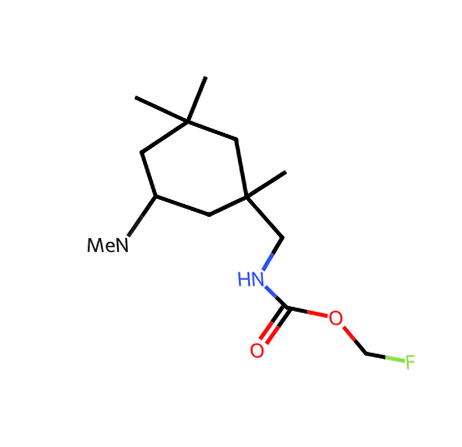 CNC1CC(C)(C)CC(C)(CNC(=O)OCF)C1